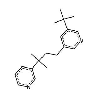 CC(C)(C)c1cncc(CCC(C)(C)c2cccnc2)c1